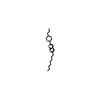 CCCCCCCCc1cc2cc(C3CCC(CCC)CO3)sc2s1